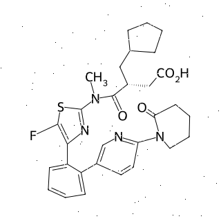 CN(C(=O)[C@@H](CC(=O)O)CC1CCCC1)c1nc(-c2ccccc2-c2ccc(N3CCCCC3=O)nc2)c(F)s1